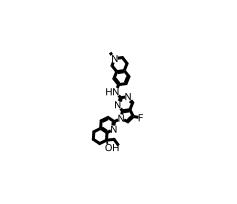 CC[C@]1(O)CCCc2ccc(-n3cc(F)c4cnc(Nc5ccc6c(c5)CN(C)CC6)nc43)nc21